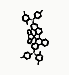 Cc1ccc(N(c2ccc3c4c(ccc3c2)-c2c(c3ccc(N(c5ccc(C)cc5)c5cc(C)ccc5C)cc3c3ccccc23)C42c3ccccc3-c3ccccc32)c2cc(C)ccc2C)cc1